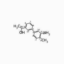 Cc1ccc(-c2cccc(C(C)O)c2)cc1N